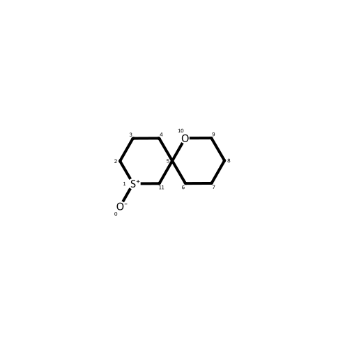 [O-][S+]1CCCC2(CCCCO2)C1